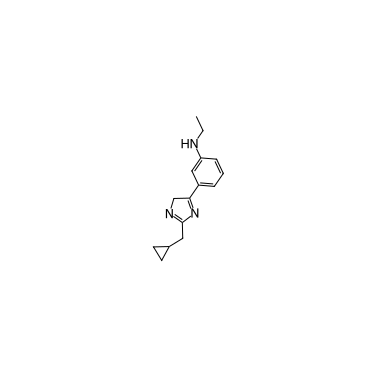 CCNc1cccc(C2=NC(CC3CC3)=NC2)c1